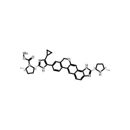 C[C@H]1CC[C@@H](c2nc3ccc4cc5c(cc4c3[nH]2)OCc2cc(-c3[nH]c([C@@H]4CC[C@H](C)N4C(=O)OC(C)(C)C)nc3C3CC3)ccc2-5)N1